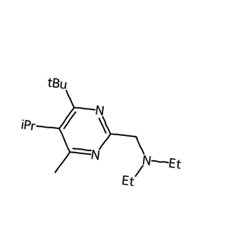 CCN(CC)Cc1nc(C)c(C(C)C)c(C(C)(C)C)n1